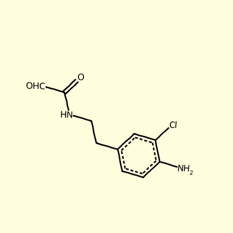 Nc1ccc(CCNC(=O)C=O)cc1Cl